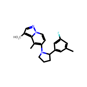 Cc1cc(F)cc(C2CCCN2c2ccn3ncc(C(=O)O)c3c2C)c1